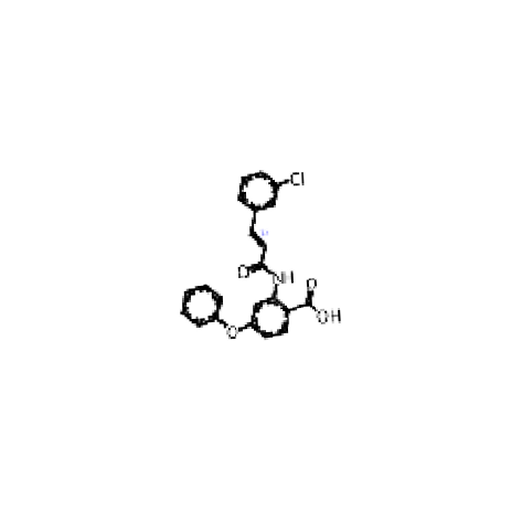 O=C(/C=C/c1cccc(Cl)c1)Nc1cc(Oc2ccccc2)ccc1C(=O)O